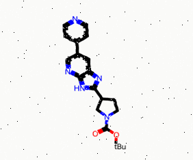 CC(C)(C)OC(=O)N1CCC(c2nc3cc(-c4ccncc4)cnc3[nH]2)C1